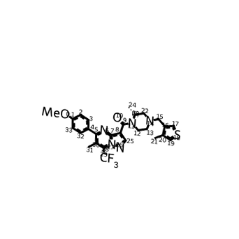 COc1ccc(-c2nc3c(C(=O)N4CCN(Cc5cscc5C)C[C@H]4C)cnn3c(C(F)(F)F)c2C)cc1